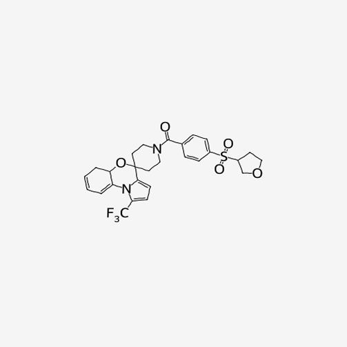 O=C(c1ccc(S(=O)(=O)C2CCOC2)cc1)N1CCC2(CC1)OC1CC=CC=C1n1c(C(F)(F)F)ccc12